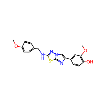 COc1ccc(CNc2nn3cc(-c4ccc(O)c(OC)c4)nc3s2)cc1